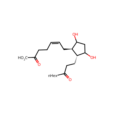 CCCCCCC(=O)CC[C@H]1C(O)CC(O)[C@@H]1C/C=C\CCC(=O)C(=O)O